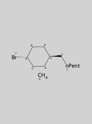 C.CCCCCC[C@H]1CC[C@H](Br)CC1